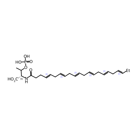 CC/C=C/C/C=C/C/C=C/C/C=C/C/C=C/C/C=C/CCC(=O)N[C@H](C(=O)O)C(C)OP(=O)(O)O